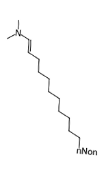 CCCCCCCCCCCCCCCCCC/C=C/N(C)C